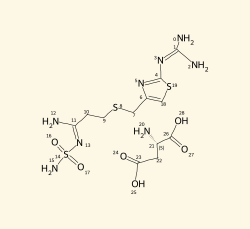 NC(N)=Nc1nc(CSCCC(N)=NS(N)(=O)=O)cs1.N[C@@H](CC(=O)O)C(=O)O